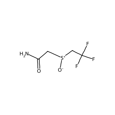 NC(=O)C[S+]([O-])CC(F)(F)F